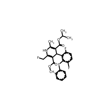 COC(=O)C1=C(CF)NC(C)=C(C(=O)OC(C)C)C1c1c(F)ccc(F)c1Sc1ccccc1